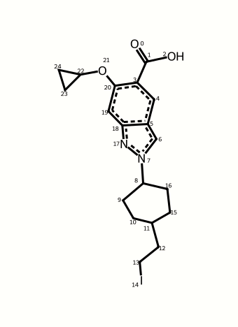 O=C(O)c1cc2cn(C3CCC(CCI)CC3)nc2cc1OC1CC1